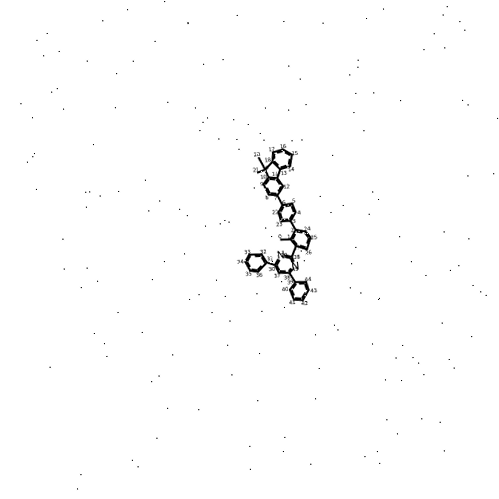 Cc1c(-c2ccc(-c3ccc4c(c3)-c3ccccc3C4(C)C)cc2)cccc1-c1nc(-c2ccccc2)cc(-c2ccccc2)n1